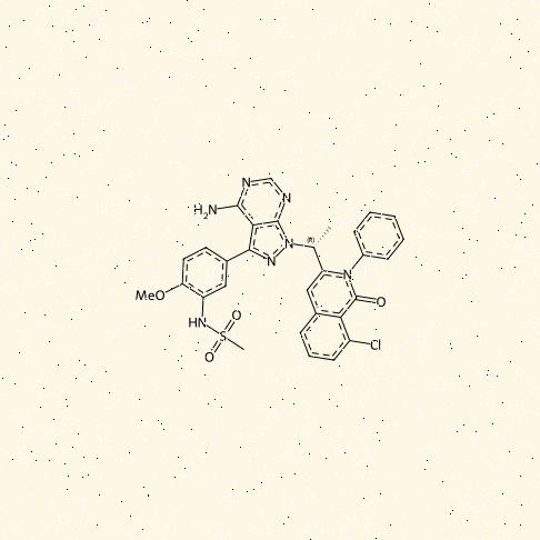 COc1ccc(-c2nn([C@H](C)c3cc4cccc(Cl)c4c(=O)n3-c3ccccc3)c3ncnc(N)c23)cc1NS(C)(=O)=O